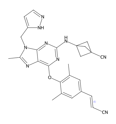 Cc1cc(/C=C/C#N)cc(C)c1Oc1nc(NC23CC(C#N)(C2)C3)nc2c1nc(C)n2Cc1ccn[nH]1